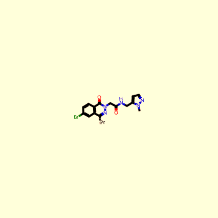 CC(C)c1nn(CC(=O)NCc2ccnn2C)c(=O)c2ccc(Br)cc12